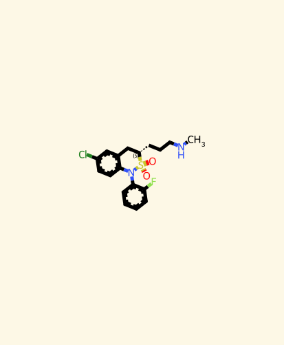 CNCCC[C@H]1Cc2cc(Cl)ccc2N(c2ccccc2F)S1(=O)=O